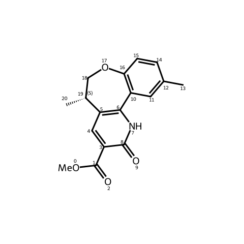 COC(=O)c1cc2c([nH]c1=O)-c1cc(C)ccc1OC[C@H]2C